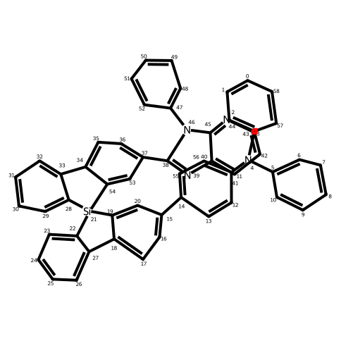 c1ccc(N(c2ccccc2)c2ccc(-c3ccc4c(c3)[Si]3(c5ccccc5-4)c4ccccc4-c4ccc(-c5nc6cccnc6n5-c5ccccc5)cc43)cc2)cc1